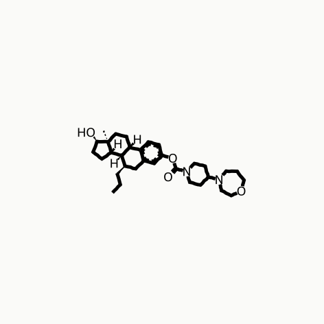 CCC[C@@H]1Cc2cc(OC(=O)N3CCC(N4CCCOCC4)CC3)ccc2[C@H]2CC[C@]3(C)[C@@H](O)CC[C@H]3[C@H]12